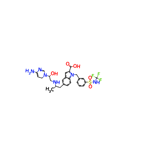 CC(Cc1ccc2c(c1)cc(C(=O)O)n2Cc1cccc(S(=O)(=O)NC(F)(F)F)c1)NCC(O)N1C=NC(N)=CC1